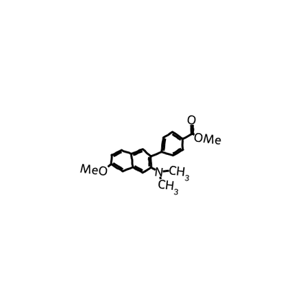 COC(=O)c1ccc(-c2cc3ccc(OC)cc3cc2N(C)C)cc1